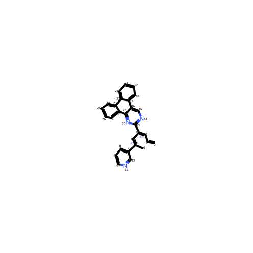 C=C/C=C(\C=C(/C)c1cccnc1)c1ncc2c3ccccc3c3ccccc3c2n1